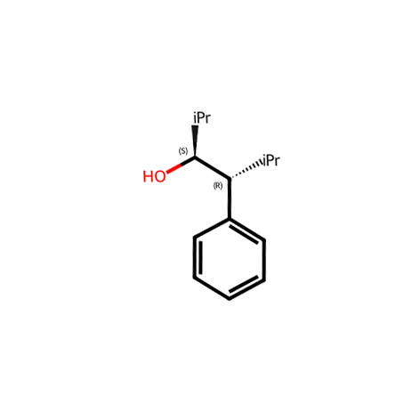 CC(C)[C@H](O)[C@@H](c1ccccc1)C(C)C